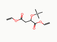 C=COC(=O)CC(O[Si](C)(C)C)C(=O)OC=C